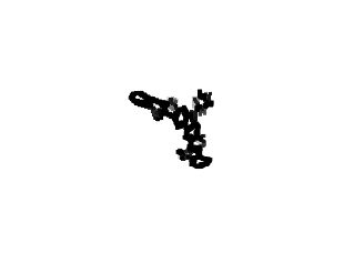 Cc1nc(C)nc(-n2c3cc4c(cc3c3cc5c6c(sc5cc32)-c2ccccc2[Si]6(C)C)C2C(S4)c3ccccc3N2C)n1